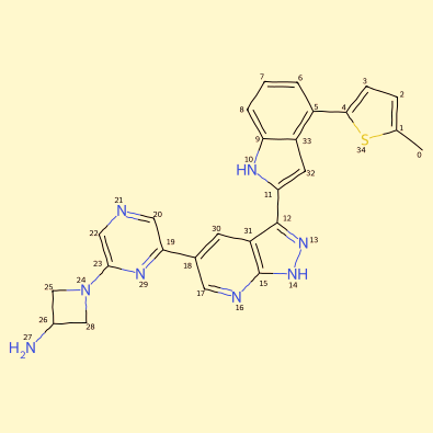 Cc1ccc(-c2cccc3[nH]c(-c4n[nH]c5ncc(-c6cncc(N7CC(N)C7)n6)cc45)cc23)s1